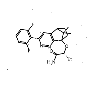 CC[C@@H](OC12CCC(c3cc(-c4c(F)cccc4F)nnc31)C2(C)C)C(N)=O